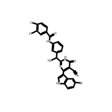 N#Cc1c(-c2c[nH]c3ccc(Br)cc23)nc(C(S)c2cccc(NC(=O)c3ccc(Cl)c(Cl)c3)c2)[nH]c1=O